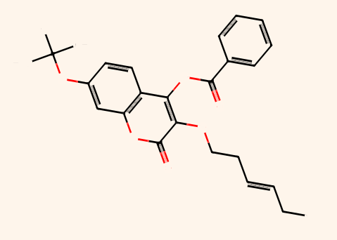 CCC=CCCOc1c(OC(=O)c2ccccc2)c2ccc(OC(C)(C)C)cc2oc1=O